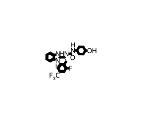 O=C(NC1CCC(O)CC1)N[C@H](Cc1ccc(C(F)(F)F)cc1F)c1nc2ccccc2[nH]1